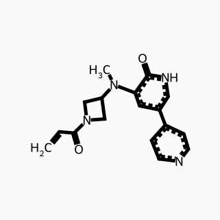 C=CC(=O)N1CC(N(C)c2cc(-c3ccncc3)c[nH]c2=O)C1